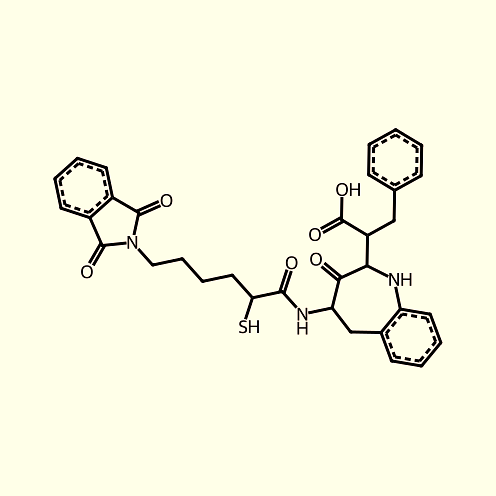 O=C(NC1Cc2ccccc2NC(C(Cc2ccccc2)C(=O)O)C1=O)C(S)CCCCN1C(=O)c2ccccc2C1=O